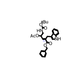 CC(=O)OC(/C=C(\Cc1c[nH]c2ccccc12)C(=O)OCc1ccccc1)CNC(=O)OC(C)(C)C